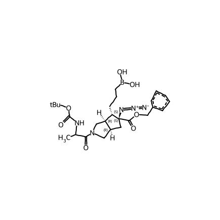 CC(NC(=O)OC(C)(C)C)C(=O)N1C[C@@H]2C[C@@](N=[N+]=[N-])(C(=O)OCc3ccccc3)[C@@H](CCCB(O)O)[C@@H]2C1